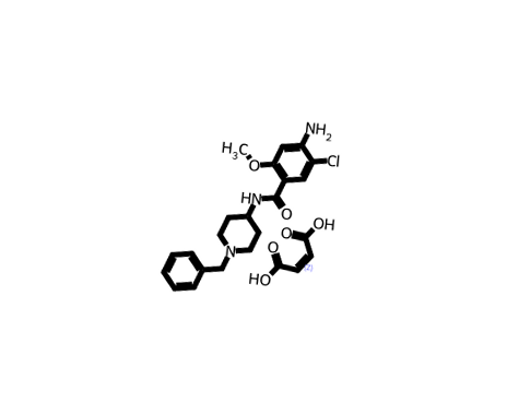 COc1cc(N)c(Cl)cc1C(=O)NC1CCN(Cc2ccccc2)CC1.O=C(O)/C=C\C(=O)O